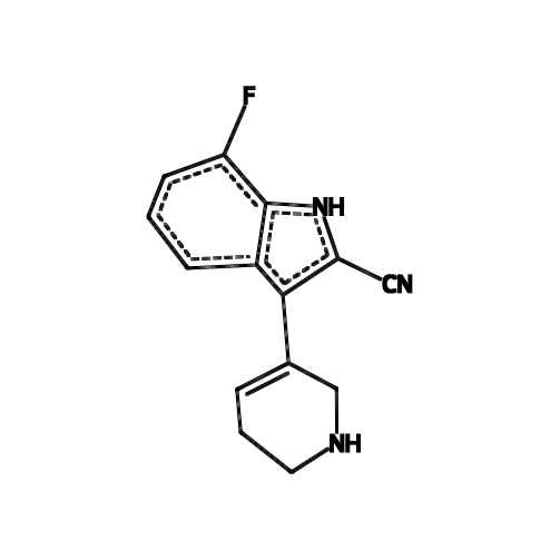 N#Cc1[nH]c2c(F)cccc2c1C1=CCCNC1